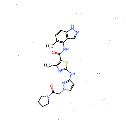 Cc1ccc2[nH]ncc2c1NC(=O)c1sc(Nc2ccn(CC(=O)N3CCCC3)n2)nc1C